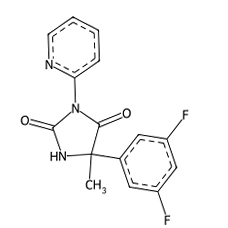 CC1(c2cc(F)cc(F)c2)NC(=O)N(c2ccccn2)C1=O